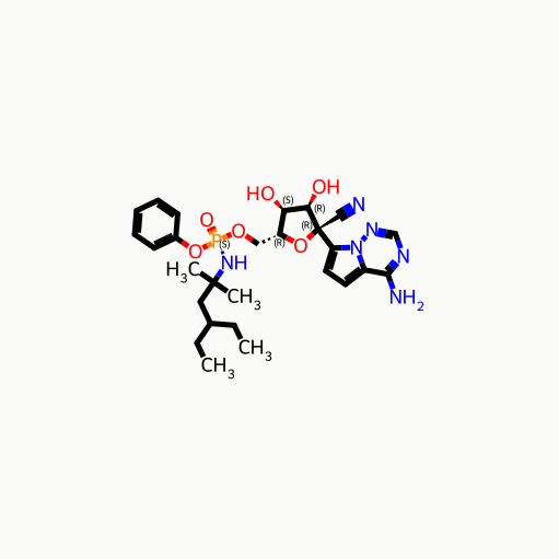 CCC(CC)CC(C)(C)N[P@](=O)(OC[C@H]1O[C@@](C#N)(c2ccc3c(N)ncnn23)[C@H](O)[C@@H]1O)Oc1ccccc1